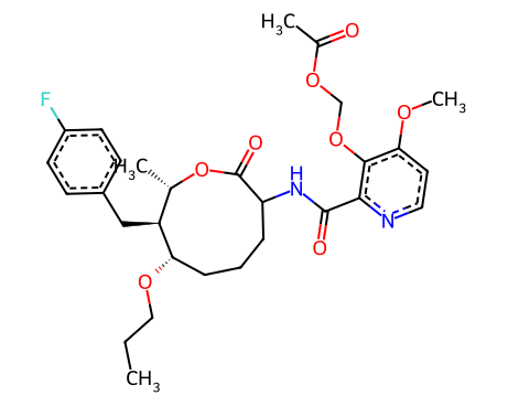 CCCO[C@H]1CCCC(NC(=O)c2nccc(OC)c2OCOC(C)=O)C(=O)O[C@@H](C)[C@@H]1Cc1ccc(F)cc1